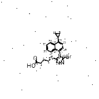 O=C(O)CCCSc1nnc(Br)n1-c1ccc(C2CC2)c2ccccc12